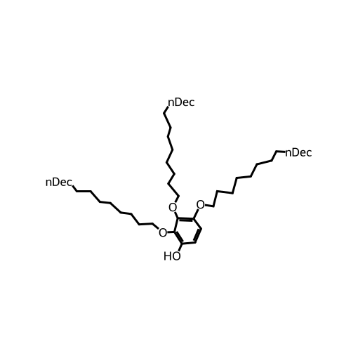 CCCCCCCCCCCCCCCCCCOc1ccc(O)c(OCCCCCCCCCCCCCCCCCC)c1OCCCCCCCCCCCCCCCCCC